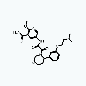 COc1ncc(NC(=O)C(=O)N2C[C@@H](C)CCC2c2cccc(OCCN(C)C)c2)cc1C(N)=O